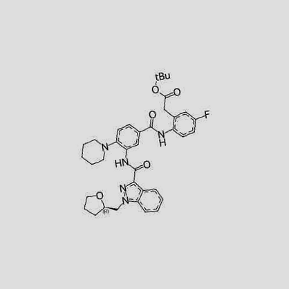 CC(C)(C)OC(=O)Cc1cc(F)ccc1NC(=O)c1ccc(N2CCCCC2)c(NC(=O)c2nn(C[C@H]3CCCO3)c3ccccc23)c1